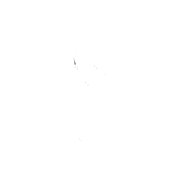 O=C1NC(N[C@@H]2CCCOC2)=N/C1=C\c1ccc2ncccc2c1